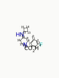 Cc1cc(F)ccc1[C@H]1C[C@@H](NC2CCC2)CCN1C(=O)O